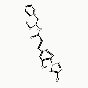 COc1cc(C=CC(=O)N[C@@H](CF)Cc2ccccc2)ccc1-n1cnc(C)c1